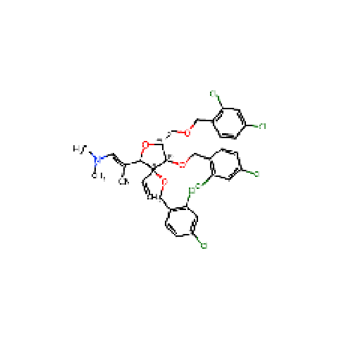 C=C[C@]1(OCc2ccc(Cl)cc2Cl)C(C(C#N)=CN(C)C)O[C@H](COCc2ccc(Cl)cc2Cl)[C@H]1OCc1ccc(Cl)cc1Cl